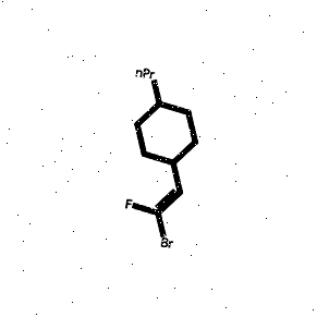 CCCC1CCC(/C=C(\F)Br)CC1